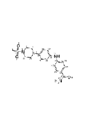 CS(=O)(=O)N1CCN(c2ccc(Nc3ncc(C(N)=O)cn3)cc2)CC1